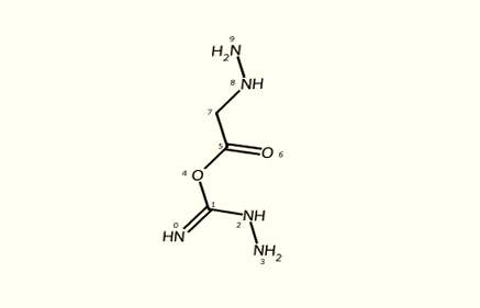 N=C(NN)OC(=O)CNN